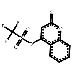 O=c1cc(OS(=O)(=O)C(F)(F)F)c2ccccc2o1